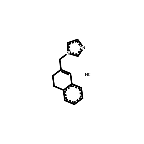 C1=C(Cn2ccnc2)CCc2ccccc21.Cl